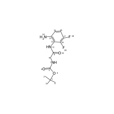 CC(C)(C)OC(=O)NCC(=O)Nc1c(N)ccc(F)c1F